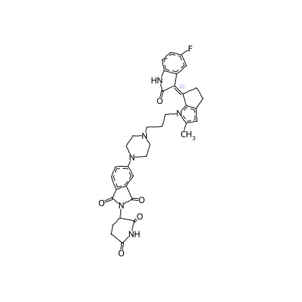 Cc1cc2c(n1CCCN1CCN(c3ccc4c(c3)C(=O)N(C3CCC(=O)NC3=O)C4=O)CC1)/C(=C1\C(=O)Nc3ccc(F)cc31)CC2